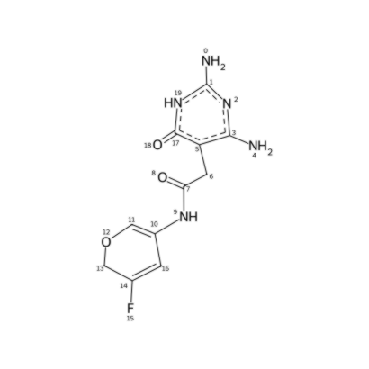 Nc1nc(N)c(CC(=O)NC2=COCC(F)=C2)c(=O)[nH]1